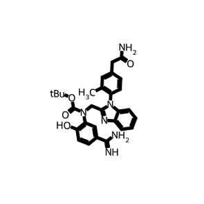 Cc1cc(CC(N)=O)ccc1-n1c(CN(C(=O)OC(C)(C)C)c2cc(C(=N)N)ccc2O)nc2ccccc21